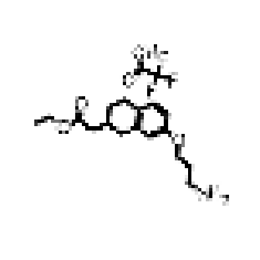 CCOC(=O)CC1CCc2ccc(OCCCN)cc2C1.O=C(O)C(F)(F)F